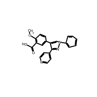 COc1ccc(-c2cn(-c3ccccc3)nc2-c2ccncc2)cc1C(=O)O